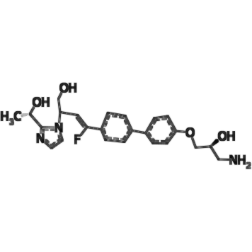 C[C@H](O)c1nccn1C(C=C(F)c1ccc(-c2ccc(OC[C@@H](O)CN)cc2)cc1)CO